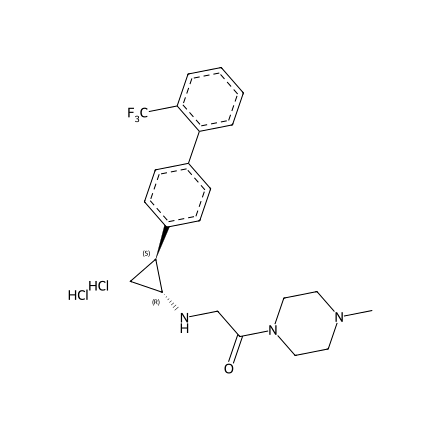 CN1CCN(C(=O)CN[C@@H]2C[C@H]2c2ccc(-c3ccccc3C(F)(F)F)cc2)CC1.Cl.Cl